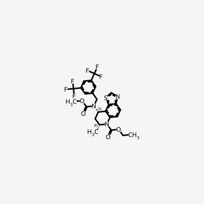 CCOC(=O)N1c2ccc3ncsc3c2[C@@H](N(Cc2cc(C(F)(F)F)cc(C(F)(F)F)c2)C(=O)OC)C[C@H]1C